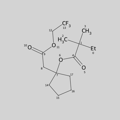 CCC(C)(C)C(=O)OC1(CC(=O)OCC(F)(F)F)CCCC1